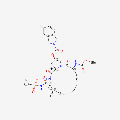 CC(C)(C)OC(=O)N[C@H]1CCCCC/C=C\[C@@H]2C[C@@]2(C(=O)NS(=O)(=O)C2CC2)NC(=O)[C@@H]2C[C@@H](OC(=O)N3Cc4ccc(F)cc4C3)CN2C1=O